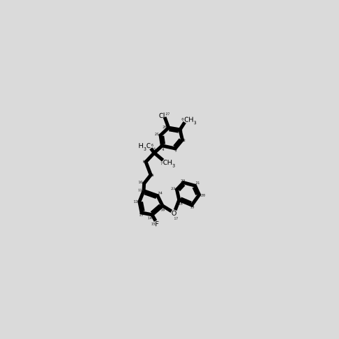 Cc1ccc(C(C)(C)CCCc2ccc(F)c(Oc3ccccc3)c2)cc1Cl